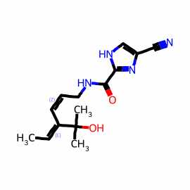 C/C=C(\C=C/CNC(=O)c1nc(C#N)c[nH]1)C(C)(C)O